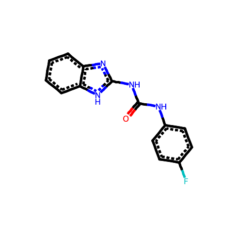 O=C(Nc1ccc(F)cc1)Nc1nc2ccccc2[nH]1